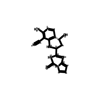 N#Cc1c(N)ncnc1NC(CCO)c1nc2cccn2c(=O)[nH]1